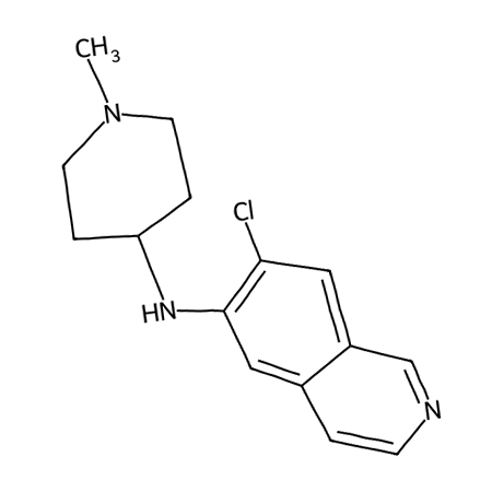 CN1CCC(Nc2cc3ccncc3cc2Cl)CC1